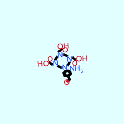 Nc1cc(C=O)ccc1N1CCN(CC(=O)O)CCN(CC(=O)O)CCN(CC(=O)O)CC1